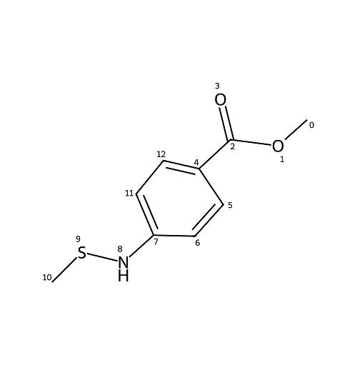 COC(=O)c1ccc(NSC)cc1